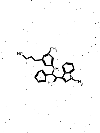 C=C(c1cn(C)c2ccccc12)C(Nc1cc(C)cc(CCCC#N)c1)c1ccccc1